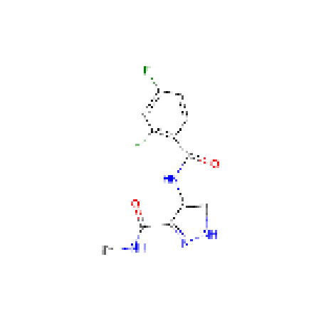 CC(C)NC(=O)c1n[nH]cc1NC(=O)c1ccc(F)cc1F